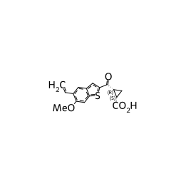 C=Cc1cc2cc(C(=O)[C@@H]3C[C@@H]3C(=O)O)sc2cc1OC